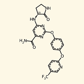 NC(=O)c1cc(N[C@H]2CCNC2=O)nc(Oc2ccc(Oc3ccc(C(F)(F)F)cn3)cc2)n1